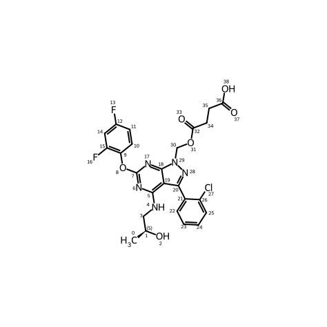 C[C@H](O)CNc1nc(Oc2ccc(F)cc2F)nc2c1c(-c1ccccc1Cl)nn2COC(=O)CCC(=O)O